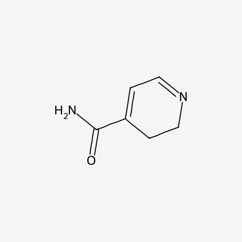 NC(=O)C1=CC=NCC1